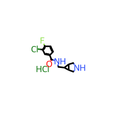 Cl.O=C(NCC1C2CNCC21)c1ccc(F)c(Cl)c1